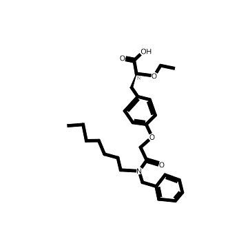 CCCCCCCN(Cc1ccccc1)C(=O)COc1ccc(C[C@H](OCC)C(=O)O)cc1